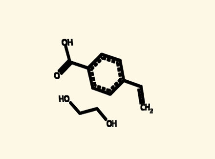 C=Cc1ccc(C(=O)O)cc1.OCCO